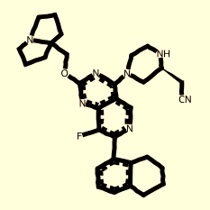 N#CC[C@H]1CN(c2nc(OCC34CCCN3CCC4)nc3c(F)c(-c4cccc5c4CCCC5)ncc23)CCN1